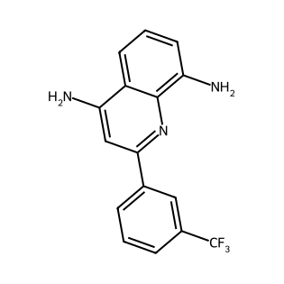 Nc1cc(-c2cccc(C(F)(F)F)c2)nc2c(N)cccc12